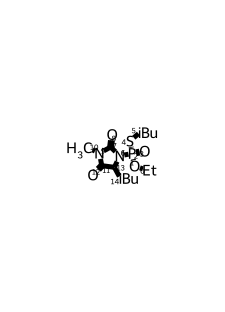 CCOP(=O)(SC(C)CC)N1C(=O)N(C)C(=O)C1C(C)CC